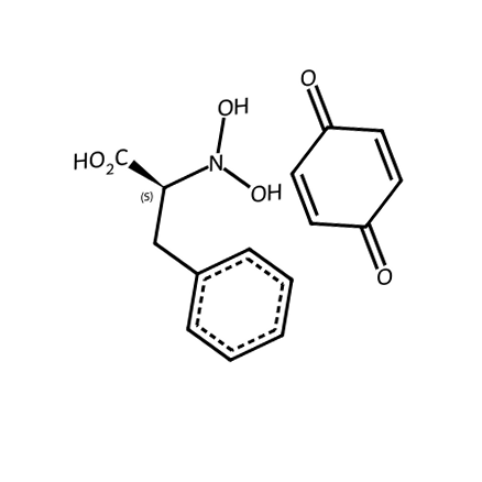 O=C(O)[C@H](Cc1ccccc1)N(O)O.O=C1C=CC(=O)C=C1